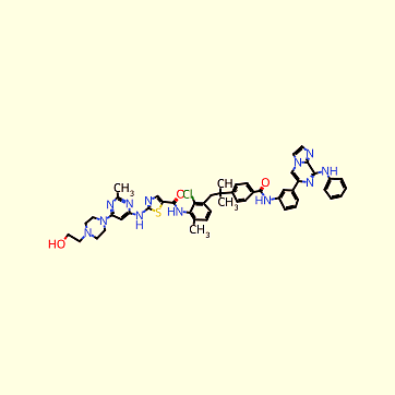 Cc1nc(Nc2ncc(C(=O)Nc3c(C)ccc(CC(C)(C)c4ccc(C(=O)Nc5cccc(-c6cn7ccnc7c(Nc7ccccc7)n6)c5)cc4)c3Cl)s2)cc(N2CCN(CCO)CC2)n1